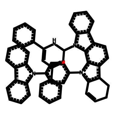 C1=Cc2c(c3ccc4c5ccccc5n(C5N=C(c6ccccc6)C=C(c6ccccc6)N5)c4c3n2-c2ccc(-n3c4ccccc4c4ccccc43)cc2)CC1